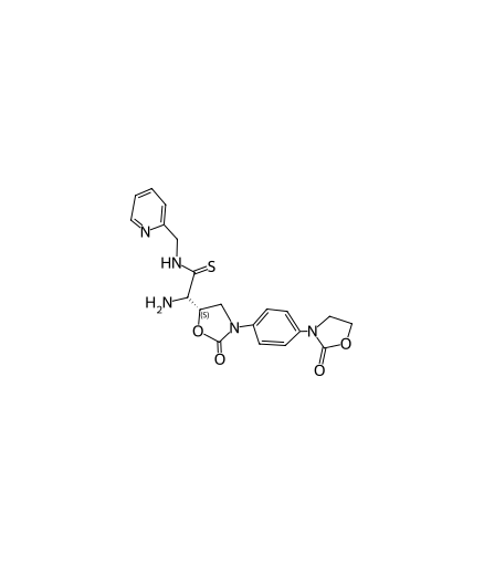 NC(C(=S)NCc1ccccn1)[C@@H]1CN(c2ccc(N3CCOC3=O)cc2)C(=O)O1